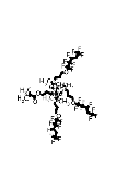 C=C(C)C(=O)OCCC[Si](O[Si](C)(C)CCCOC(F)(F)C(F)(F)C(F)CC(F)(F)F)(O[Si](C)(C)CCCOC(F)(F)C(F)(F)C(F)CC(F)(F)F)O[Si](C)(C)CCCOC(F)(F)C(F)(F)C(F)CC(F)(F)F